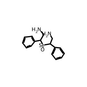 NCC(c1ccccc1)[Se](=O)C(CN)c1ccccc1